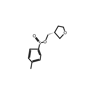 Cc1ccc(S(=O)OC[C@@H]2CCOC2)cc1